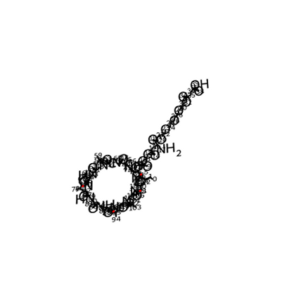 C/C=C/C[C@@H](C)C(OC(=O)OCOC(=O)C[C@@H](N)C(=O)OCCOCCOCCOCCOC(=O)CCC(=O)O)C1C(=O)NC(CC)C(=O)N(C)CC(=O)N(C)[C@@H](CC(C)C)C(=O)NC(C(C)C)C(=O)N(C)C(CC(C)C)C(=O)N[C@@H](C)C(=O)NC(C)C(=O)N(C)[C@H](CC(C)C)C(=O)N(C)C(CC(C)C)C(=O)N(C)C(C(C)C)C(=O)N1C